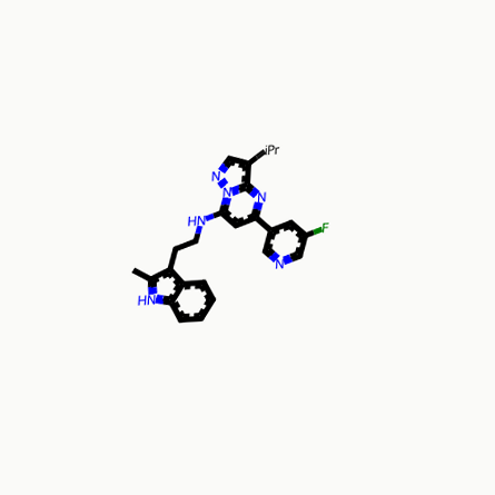 Cc1[nH]c2ccccc2c1CCNc1cc(-c2cncc(F)c2)nc2c(C(C)C)cnn12